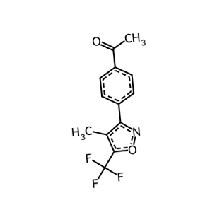 CC(=O)c1ccc(-c2noc(C(F)(F)F)c2C)cc1